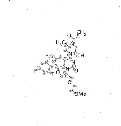 C=CC(=O)N1C[C@H](C)N(c2nc(=O)n3c4c(c(-c5ccc(F)cc5F)c(C(F)(F)F)cc24)OC[C@@H]3COCCOC)C[C@H]1C